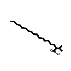 CCCCCCCCC=CCCCCCCC(C(N)=O)C(C)C